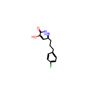 O=c1[nH]nc(CCCc2ccc(F)cc2)cc1O